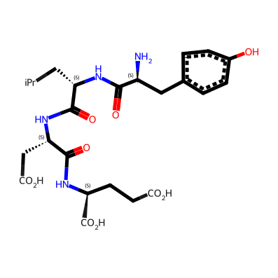 CC(C)C[C@H](NC(=O)[C@@H](N)Cc1ccc(O)cc1)C(=O)N[C@@H](CC(=O)O)C(=O)N[C@@H](CCC(=O)O)C(=O)O